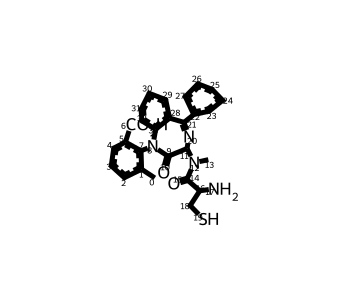 Cc1cccc(C(=O)O)c1N1C(=O)C(N(C)C(=O)C(N)CS)N=C(c2ccccc2)c2ccccc21